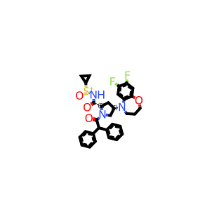 O=C(N[S+]([O-])C1CC1)[C@@H]1C[C@H](N2CCCOc3cc(F)c(F)cc32)CN1C(=O)C(c1ccccc1)c1ccccc1